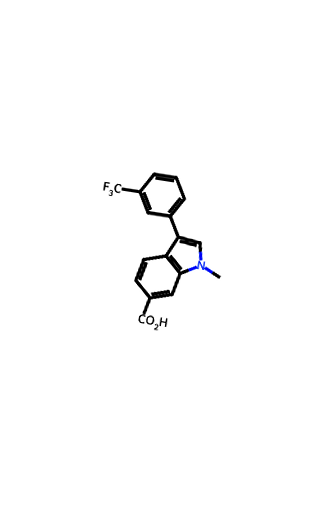 Cn1cc(-c2cccc(C(F)(F)F)c2)c2ccc(C(=O)O)cc21